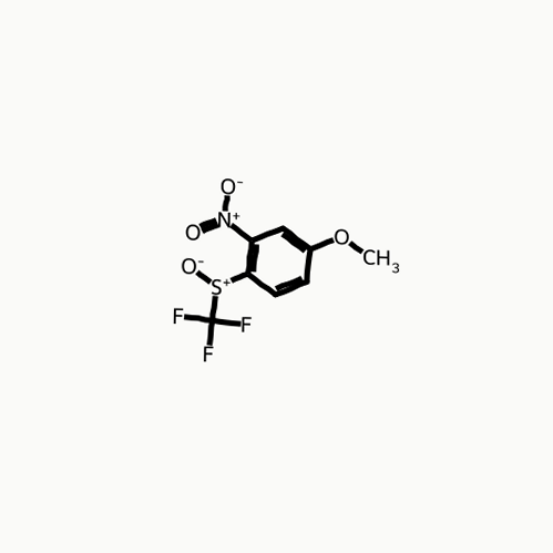 COc1ccc([S+]([O-])C(F)(F)F)c([N+](=O)[O-])c1